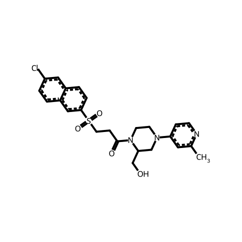 Cc1cc(N2CCN(C(=O)CCS(=O)(=O)c3ccc4cc(Cl)ccc4c3)C(CO)C2)ccn1